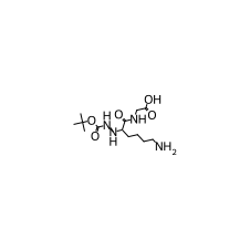 CC(C)(C)OC(=O)NNC(CCCCN)C(=O)NCC(=O)O